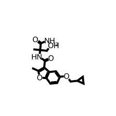 Cc1oc2ccc(OCC3CC3)cc2c1C(=O)NC(C)(CO)C(N)=O